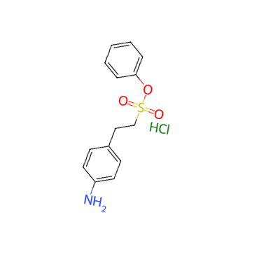 Cl.Nc1ccc(CCS(=O)(=O)Oc2ccccc2)cc1